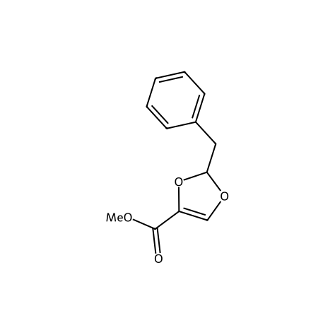 COC(=O)C1=COC(Cc2ccccc2)O1